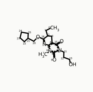 CCC1Cc2c(n(C)c(=O)n(CCCO)c2=O)N=C1OCC1CCCC1